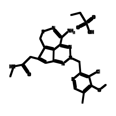 CCS(=O)(=O)O.CNC(=O)Cc1cc2nn(Cc3ncc(C)c(OC)c3Cl)nc3c-2c1CSN=C3N